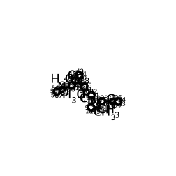 CC1(C)c2cc(N3c4ccccc4C(C)(C)c4cc(-c5nc6ccccc6o5)ccc43)ccc2-c2ccc(N3c4ccccc4C(C)(C)c4cc(-c5nc6ccccc6o5)ccc43)cc21